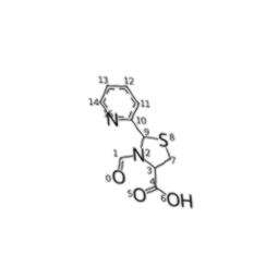 O=CN1C(C(=O)O)CSC1c1ccccn1